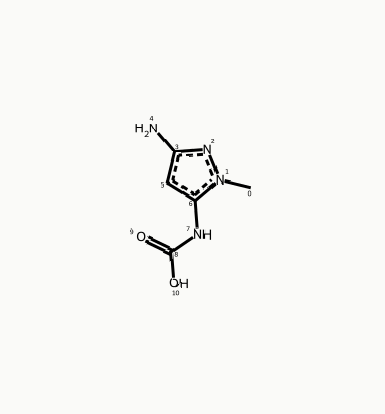 Cn1nc(N)cc1NC(=O)O